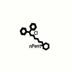 CCCCCC1(CCCCC(Cl)CC(c2ccccc2)c2ccccc2)CCCCC1